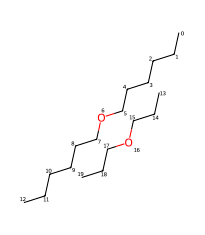 CCCCCCOCCCCCC.CCCOCCC